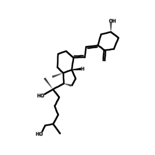 C=C1CC[C@@H](O)C/C1=C/C=C1\CCC[C@@]2(C)[C@H]1CC[C@@H]2[C@](C)(O)CCCC(C)CO